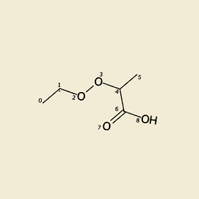 C[CH]OOC(C)C(=O)O